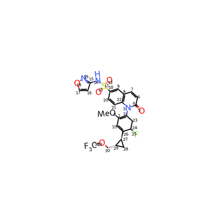 COC1=C(n2c(=O)ccc3cc(S(=O)(=O)Nc4ccon4)ccc32)CC(F)C([C@H]2C[C@@H]2COC(F)(F)F)=C1